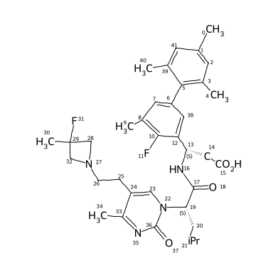 Cc1cc(C)c(-c2cc(C)c(F)c([C@H](CC(=O)O)NC(=O)[C@H](CC(C)C)n3cc(CCN4CC(C)(F)C4)c(C)nc3=O)c2)c(C)c1